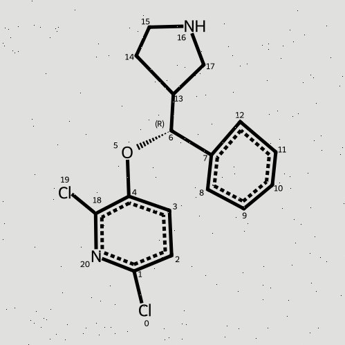 Clc1ccc(O[C@@H](c2ccccc2)C2CCNC2)c(Cl)n1